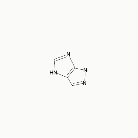 C1=N[N]c2nc[nH]c21